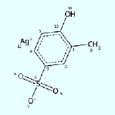 Cc1cc(S(=O)(=O)[O-])ccc1O.[Ag+]